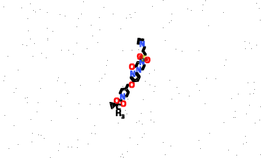 CC1(OC(=O)N2CCC(COc3ccc(N4CCN(S(=O)(=O)CCCN5CCC5)CC4=O)nc3)CC2)CC1